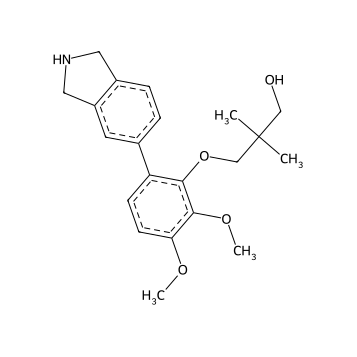 COc1ccc(-c2ccc3c(c2)CNC3)c(OCC(C)(C)CO)c1OC